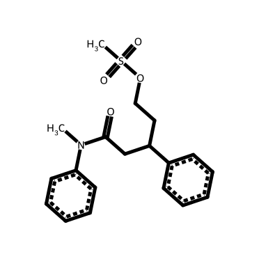 CN(C(=O)CC(CCOS(C)(=O)=O)c1ccccc1)c1ccccc1